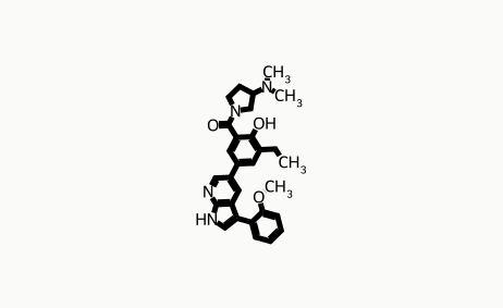 CCc1cc(-c2cnc3[nH]cc(-c4ccccc4OC)c3c2)cc(C(=O)N2CCC(N(C)C)C2)c1O